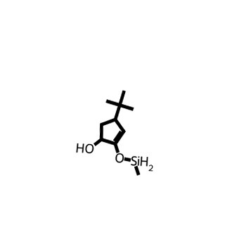 C[SiH2]OC1=CC(C(C)(C)C)CC1O